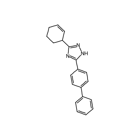 C1=CC(c2n[nH]c(-c3ccc(-c4ccccc4)cc3)n2)CCC1